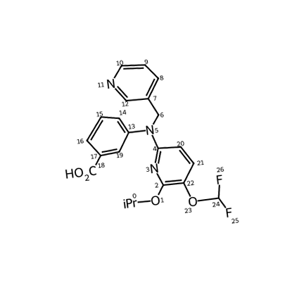 CC(C)Oc1nc(N(Cc2cccnc2)c2cccc(C(=O)O)c2)ccc1OC(F)F